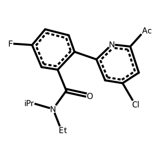 CCN(C(=O)c1cc(F)ccc1-c1cc(Cl)cc(C(C)=O)n1)C(C)C